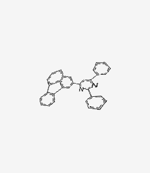 c1ccc(-c2cc(-c3cc4c5c(cccc5c3)-c3ccccc3-4)nc(-c3ccccc3)n2)cc1